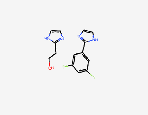 Fc1cc(F)cc(-c2ncc[nH]2)c1.OCCc1ncc[nH]1